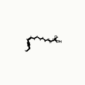 CCC#C/C=C\CCCCCCCC(=O)O